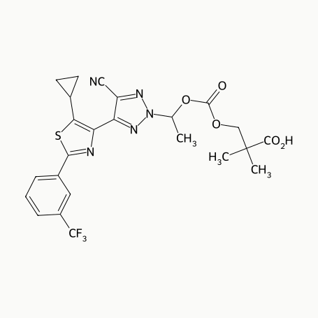 CC(OC(=O)OCC(C)(C)C(=O)O)n1nc(C#N)c(-c2nc(-c3cccc(C(F)(F)F)c3)sc2C2CC2)n1